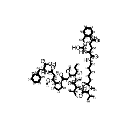 CC[C@H](C)[C@@H]([C@@H](CC(=O)N1CCC[C@H]1[C@H](OC)[C@@H](C)C(=O)N[C@@H](Cc1ccccc1)C(=O)O)OC)N(C)C(=O)[C@@H](NC(=O)[C@H](C(C)C)N(C)C(=O)CCCCCNC(=O)C(CCC(N)=O)NC(O)OCc1ccccc1)C(C)C